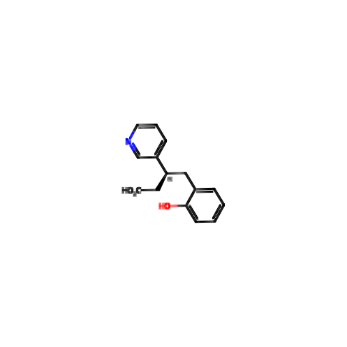 O=C(O)C[C@H](Cc1ccccc1O)c1cccnc1